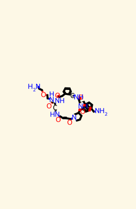 NCCOCCNC(=O)[C@@H]1CCNC(=O)/C=C/C(=O)N2CCC[C@](Cc3ccccc3)(C2)C(=O)N[C@@H](Cc2ccc(CN)cc2)C(=O)NCc2ccccc2CC(=O)N1